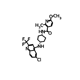 COc1ccc(C(=O)N[C@H]2CC[C@@H](Nc3cc(C(F)(F)F)nc4ccc(Cl)cc34)CC2)c(C)n1